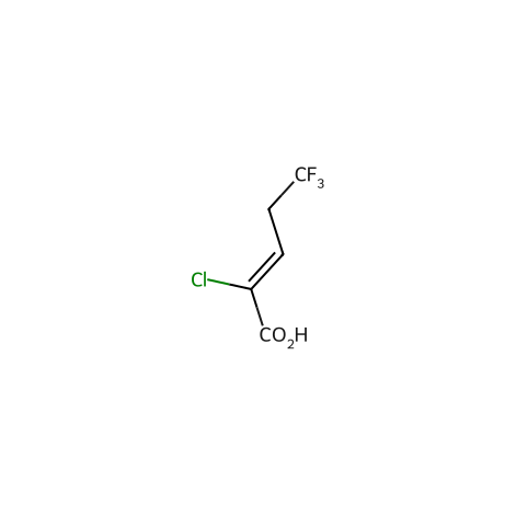 O=C(O)C(Cl)=CCC(F)(F)F